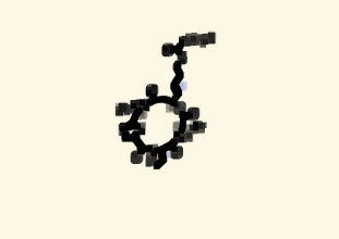 C/C=C1\NC(=O)c2csc(n2)[C@H](C(C)C)NC(=O)C[C@@H](/C=C/CCSC(=O)CCCCCCC)OC(=O)[C@H](C(C)C)NC1=O